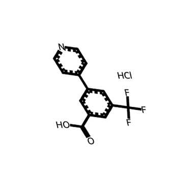 Cl.O=C(O)c1cc(-c2ccncc2)cc(C(F)(F)F)c1